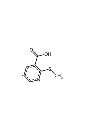 CSc1nc[c]cc1C(=O)O